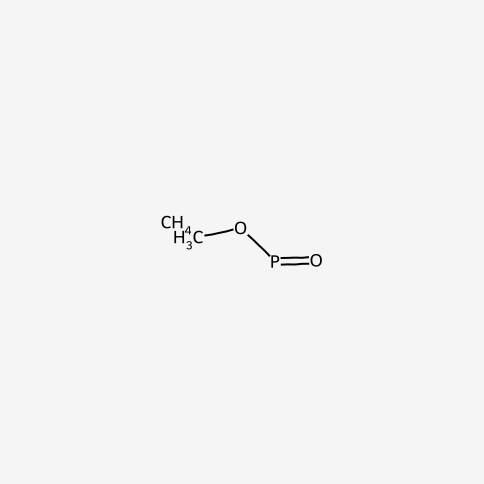 C.COP=O